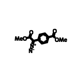 COC(=O)C(=[N+]=[N-])c1ccc(C(=O)OC)cc1